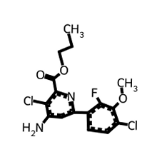 CCCOC(=O)c1nc(-c2ccc(Cl)c(OC)c2F)cc(N)c1Cl